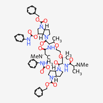 CN[C@@H](C)C(=O)N[C@H](C(=O)N1CC[C@@H]2[C@H]1[C@@H](OC(=O)Nc1ccccc1)CN2C(=O)OCc1ccccc1)[C@@H](C)OCCO[C@H](C)[C@H](NC(=O)[C@H](C)NC)C(=O)N1CC[C@@H]2[C@H]1[C@@H](OC(=O)Nc1ccccc1)CN2C(=O)OCc1ccccc1